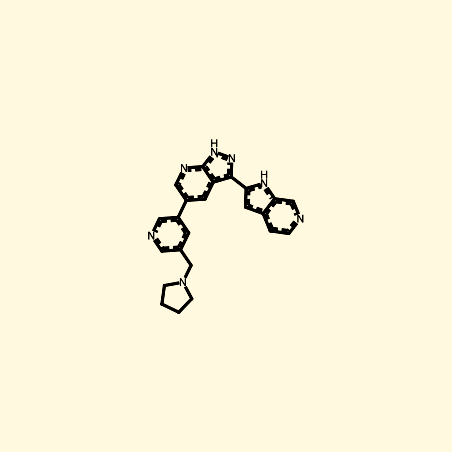 c1cc2cc(-c3n[nH]c4ncc(-c5cncc(CN6CCCC6)c5)cc34)[nH]c2cn1